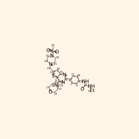 CCNC(=O)Nc1ccc(-c2nc(N3C4CCC3COC4)c3sc(CN4CCN(S(C)(=O)=O)CC4)cc3n2)cc1